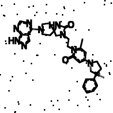 Cc1cc(N2CC[C@@](C)(c3ccccc3)C2)cc(=O)n1CCN1CC2(CCN(c3ncnc4[nH]ncc34)CC2)NC1=O